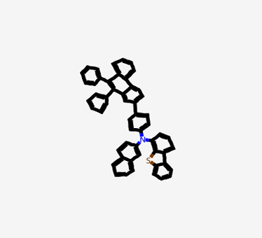 c1ccc(-c2c(-c3ccccc3)c3cc(-c4ccc(N(c5ccc6ccccc6c5)c5cccc6c5sc5ccccc56)cc4)ccc3c3ccccc23)cc1